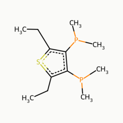 CCc1sc(CC)c(P(C)C)c1P(C)C